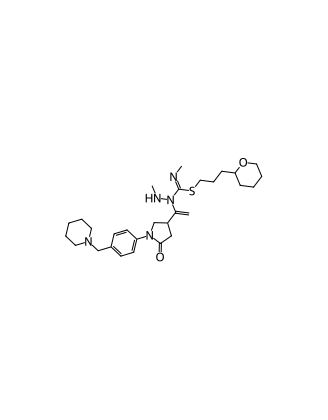 C=C(C1CC(=O)N(c2ccc(CN3CCCCC3)cc2)C1)N(NC)/C(=N/C)SCCCC1CCCCO1